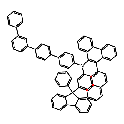 c1ccc(-c2cccc(-c3ccc(-c4ccc(N(c5cccc(C6(c7ccccc7)c7ccccc7-c7ccccc76)c5)c5c(-c6ccc7ccccc7c6)c6ccccc6c6ccccc56)cc4)cc3)c2)cc1